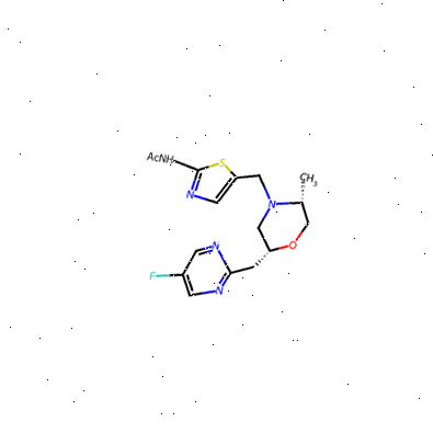 CC(=O)Nc1ncc(CN2C[C@@H](Cc3ncc(F)cn3)OC[C@H]2C)s1